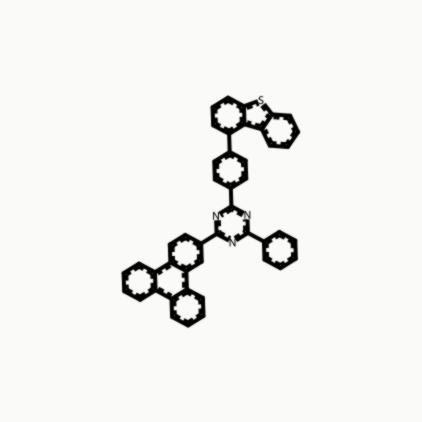 c1ccc(-c2nc(-c3ccc(-c4cccc5sc6ccccc6c45)cc3)nc(-c3ccc4c5ccccc5c5ccccc5c4c3)n2)cc1